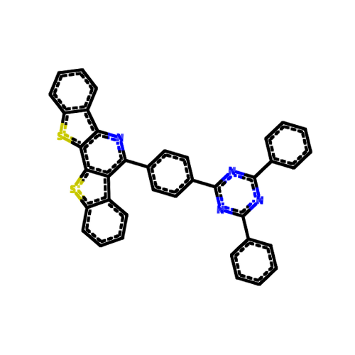 c1ccc(-c2nc(-c3ccccc3)nc(-c3ccc(-c4nc5c6ccccc6sc5c5sc6ccccc6c45)cc3)n2)cc1